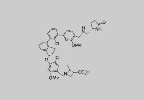 COc1nc(-c2cccc(-c3cccc4c3CC[C@@H]4Oc3nc(OC)c(CN4CC(C(=O)O)C4C)cc3Cl)c2Cl)ccc1CNC[C@@H]1CCC(=O)N1